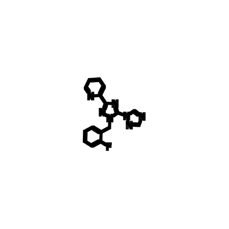 Fc1ccccc1Cn1nc(-c2ccccn2)nc1-n1cncn1